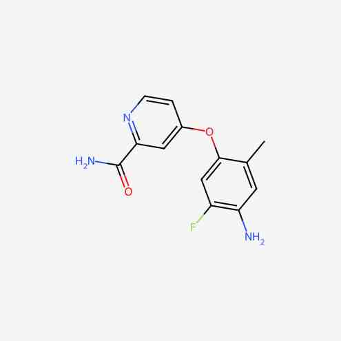 Cc1cc(N)c(F)cc1Oc1ccnc(C(N)=O)c1